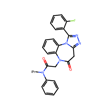 CC(C)N(C(=O)CN1C(=O)Cc2nnc(-c3ccccc3F)n2-c2ccccc21)c1ccccc1